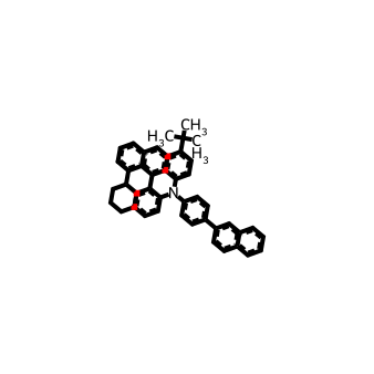 CC(C)(C)c1ccc(N(c2ccc(-c3ccc4ccccc4c3)cc2)c2ccccc2-c2cccc3cccc(C4CCCCC4)c23)cc1